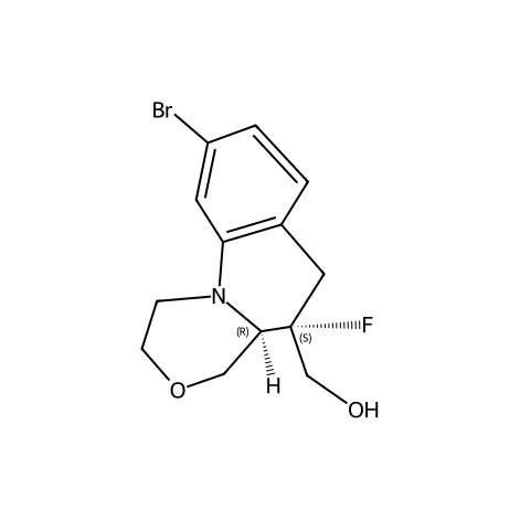 OC[C@]1(F)Cc2ccc(Br)cc2N2CCOC[C@@H]21